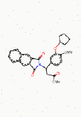 COC(=O)CC(c1ccc(OC)c(OC2CCCC2)c1)N1C(=O)c2cc3ccccc3cc2C1=O